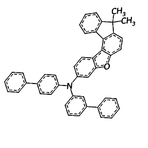 CC1(C)c2ccccc2-c2c1ccc1oc3cc(N(c4ccc(-c5ccccc5)cc4)c4cccc(-c5ccccc5)c4)ccc3c21